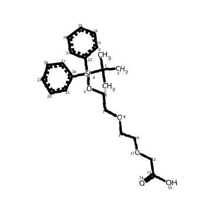 CC(C)(C)[Si](OCCOCCOCC(=O)O)(c1ccccc1)c1ccccc1